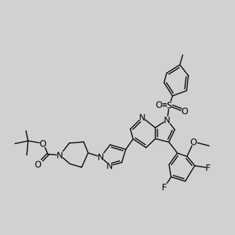 COc1c(F)cc(F)cc1-c1cn(S(=O)(=O)c2ccc(C)cc2)c2ncc(-c3cnn(C4CCN(C(=O)OC(C)(C)C)CC4)c3)cc12